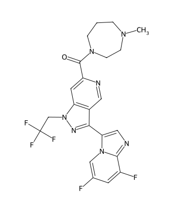 CN1CCCN(C(=O)c2cc3c(cn2)c(-c2cnc4c(F)cc(F)cn24)nn3CC(F)(F)F)CC1